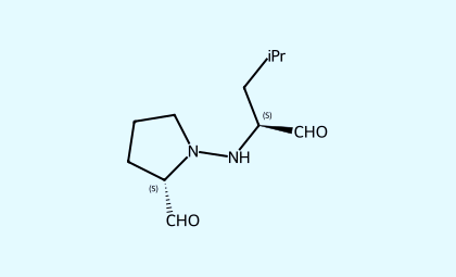 CC(C)C[C@@H](C=O)NN1CCC[C@H]1C=O